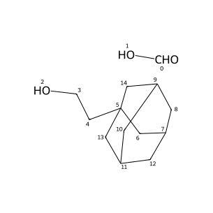 O=CO.OCCC12CC3CC(CC(C3)C1)C2